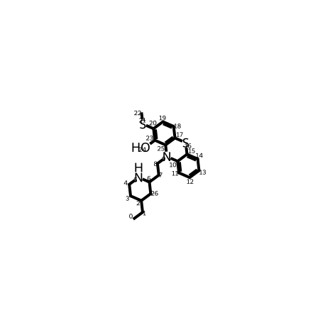 CCC1CCNC(CCN2c3ccccc3Sc3ccc(SC)c(O)c32)C1